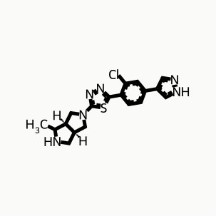 CC1NC[C@@H]2CN(c3nnc(-c4ccc(-c5cn[nH]c5)cc4Cl)s3)C[C@H]12